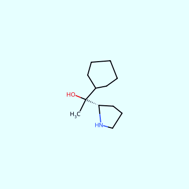 CC(O)(C1CCCCC1)[C@@H]1CCCN1